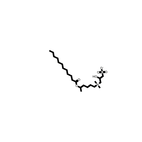 CCCCCCCCCCCC(=O)OC(C)CCCC[N+](C)(C)CC(O)CS(=O)(=O)[O-]